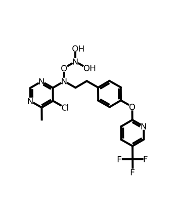 Cc1ncnc(N(CCc2ccc(Oc3ccc(C(F)(F)F)cn3)cc2)ON(O)O)c1Cl